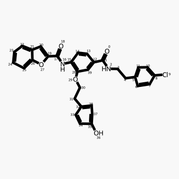 O=C(NCCc1ccc(Cl)cc1)c1ccc(NC(=O)c2cc3ccccc3o2)c(OCCc2ccc(O)cc2)c1